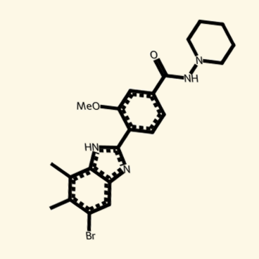 COc1cc(C(=O)NN2CCCCC2)ccc1-c1nc2cc(Br)c(C)c(C)c2[nH]1